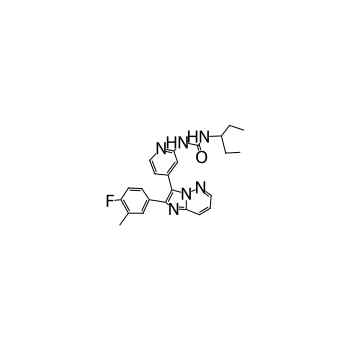 CCC(CC)NC(=O)Nc1cc(-c2c(-c3ccc(F)c(C)c3)nc3cccnn23)ccn1